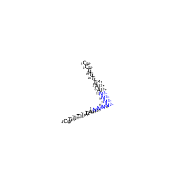 [Al+3].[Al+3].[Al+3].[Cu].[Cu].[Cu].[N-3].[N-3].[N-3].[N-3].[N-3].[N-3].[N-3].[Ti+4].[Ti+4].[Ti+4].[Ti].[Ti].[Ti].[Ti].[Ti].[Ti]